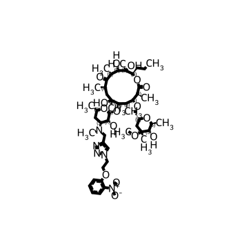 CCC[C@H]1OC(=O)[C@H](C)[C@@H](OC[C@H]2C[C@@](C)(OC)[C@@H](O)[C@H](C)O2)[C@H](C)[C@@H](O[C@@H]2O[C@H](C)C[C@H](N(C)Cc3cn(CCOc4ccccc4[N+](=O)[O-])nn3)[C@H]2O)[C@](C)(O)C[C@@H](C)C(=O)[C@H](C)[C@@H](O)[C@]1(C)O